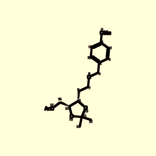 COc1ccc(COCC[C@@H]2OC(C)(C)O[C@@H]2COC(C)=O)cc1